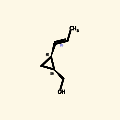 C/C=C/[C@@H]1C[C@@H]1CO